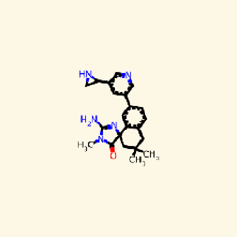 CN1C(=O)C2(CC(C)(C)Cc3ccc(-c4cncc(C5CN5)c4)cc32)N=C1N